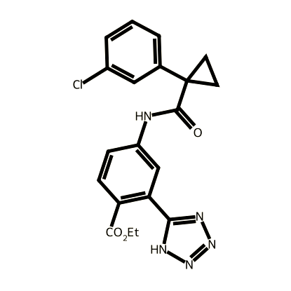 CCOC(=O)c1ccc(NC(=O)C2(c3cccc(Cl)c3)CC2)cc1-c1nnn[nH]1